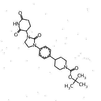 CC(C)(C)OC(=O)N1CCC(c2ccc(N3CCN(C4CCC(=O)NC4=O)C3=O)cc2)CC1